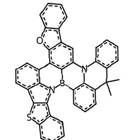 CC1(C)c2ccccc2N2c3cc4c(oc5ccccc54)c4c3B(c3cccc1c32)n1c2c-4cccc2c2sc3ccccc3c21